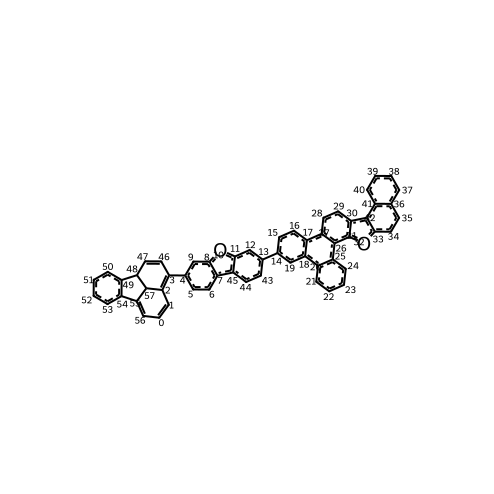 C1=CC2=C(c3ccc4c(c3)oc3cc(-c5ccc6c(c5)c5ccccc5c5c6ccc6c5oc5ccc7ccccc7c56)ccc34)C=CC3c4ccccc4C(=C1)C23